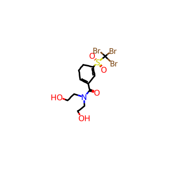 O=C(C1=CCCC(S(=O)(=O)C(Br)(Br)Br)=C1)N(CCO)CCO